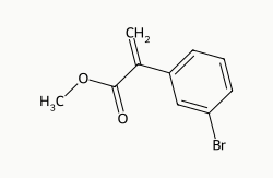 C=C(C(=O)OC)c1cccc(Br)c1